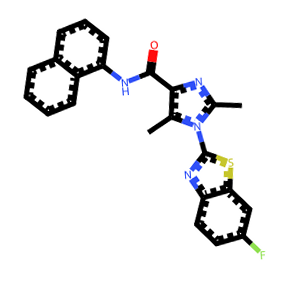 Cc1nc(C(=O)Nc2cccc3ccccc23)c(C)n1-c1nc2ccc(F)cc2s1